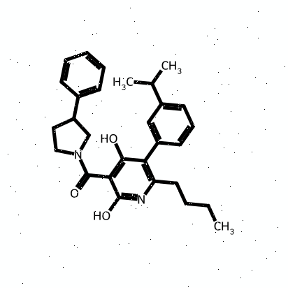 CCCCc1nc(O)c(C(=O)N2CCC(c3ccccc3)C2)c(O)c1-c1cccc(C(C)C)c1